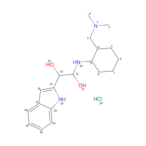 CN(C)CC1CCCCC1NC(O)C(O)c1cc2ccccc2[nH]1.Cl